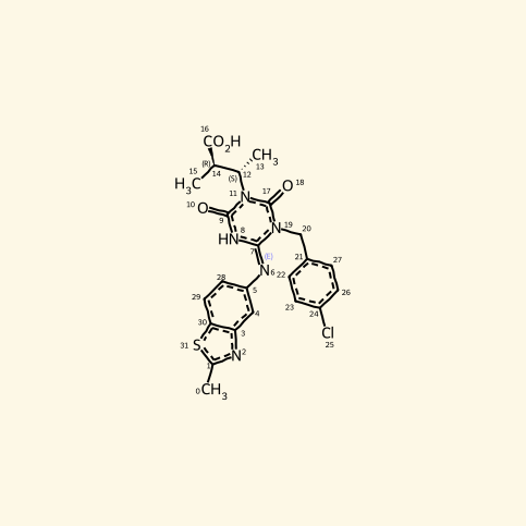 Cc1nc2cc(/N=c3\[nH]c(=O)n([C@@H](C)[C@@H](C)C(=O)O)c(=O)n3Cc3ccc(Cl)cc3)ccc2s1